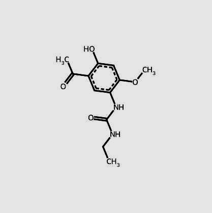 CCNC(=O)Nc1cc(C(C)=O)c(O)cc1OC